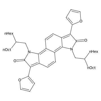 CCCCCCCCC(CCCCCC)CN1C(=O)C(c2ccco2)=c2ccc3c4c(ccc3c21)=C(c1ccco1)C(=O)N4CC(CCCCCC)CCCCCCCC